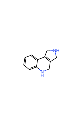 c1ccc2c(c1)NCC1=C2CNC1